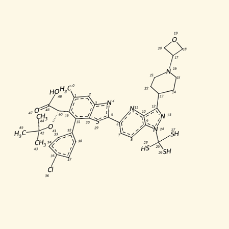 Cc1cc2nc(-c3ccc4c(n3)c(C3CCN(C5COC5)CC3)nn4C(S)(S)S)sc2c(-c2ccc(Cl)cc2)c1[C@H](OC(C)(C)C)C(=O)O